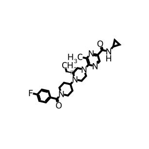 CC[C@H]1CN(c2ncc(C(=O)NC3CC3)nc2C)CCN1C1CCN(C(=O)c2ccc(F)cc2)CC1